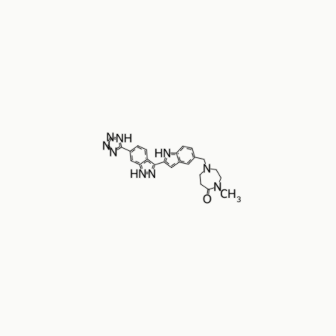 CN1CCN(Cc2ccc3[nH]c(-c4n[nH]c5cc(-c6nnn[nH]6)ccc45)cc3c2)CCC1=O